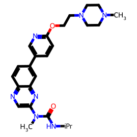 CC(C)NC(=O)N(C)c1cnc2ccc(-c3ccc(OCCN4CCN(C)CC4)nc3)cc2n1